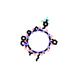 CCCCC[C@@H]1NC(=O)[C@H](CC(C)C)N(C)C(=O)C[C@@H](C(=O)N2CCCCC2)N(C)C(=O)[C@H](C2CCCCC2)N(C)C(=O)C2(CCCC2)NC(=O)[C@@H]2CCCN2C(=O)[C@H](CCc2ccc(C(F)(F)F)c(Cl)c2)NC(=O)CN(C)C(=O)[C@H](CC2CCCCC2)N(C)C(=O)CN(C)C(=O)CN(C)C1=O